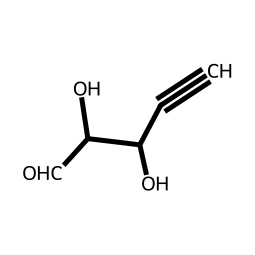 C#CC(O)C(O)C=O